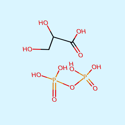 O=C(O)C(O)CO.O=P(O)(O)OP(=O)(O)O